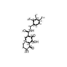 CCN1CCn2cc(C(=O)NCc3ccc(F)c(C)c3F)c(=O)c(O)c2C1=O